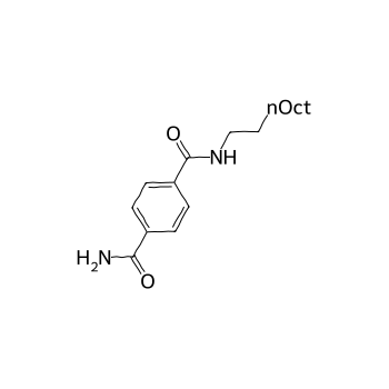 CCCCCCCCCCNC(=O)c1ccc(C(N)=O)cc1